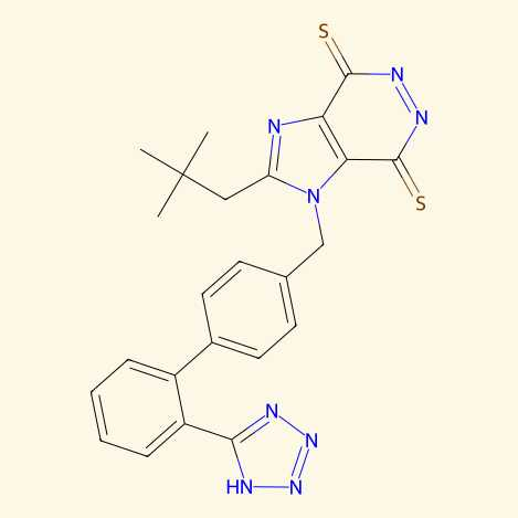 CC(C)(C)Cc1nc2c(n1Cc1ccc(-c3ccccc3-c3nnn[nH]3)cc1)C(=S)N=NC2=S